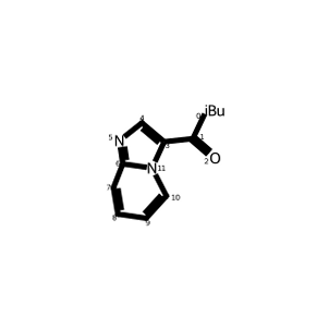 CCC(C)C(=O)c1cnc2ccccn12